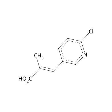 CC(=Cc1ccc(Cl)nc1)C(=O)O